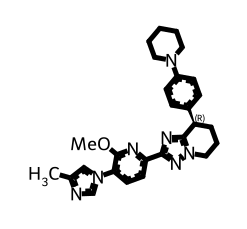 COc1nc(-c2nc3n(n2)CCC[C@@H]3c2ccc(N3CCCCC3)cc2)ccc1-n1cnc(C)c1